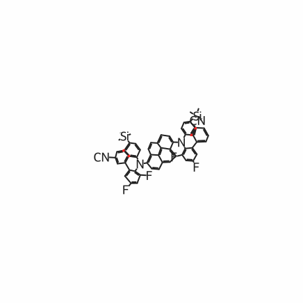 [C-]#[N+]c1cccc(-c2cc(F)cc(F)c2N(c2ccc([Si](C)(C)C)cc2)c2ccc3ccc4c(N(c5ccc([Si](C)(C)C)cc5)c5c(F)cc(F)cc5-c5cccc(C#N)c5)ccc5ccc2c3c54)c1